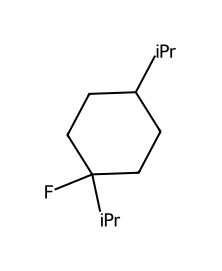 CC(C)C1CCC(F)(C(C)C)CC1